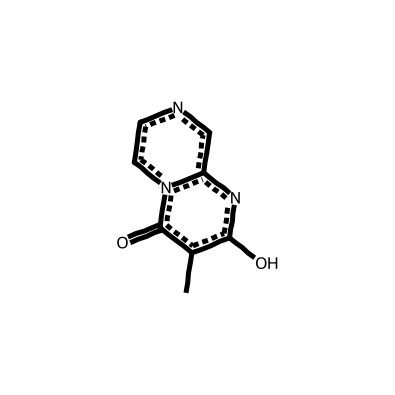 Cc1c(O)nc2cnccn2c1=O